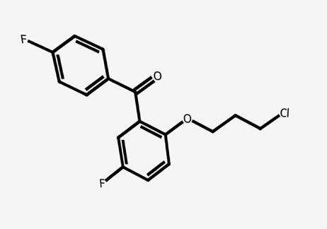 O=C(c1ccc(F)cc1)c1cc(F)ccc1OCCCCl